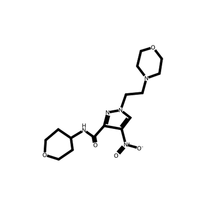 O=C(NC1CCOCC1)c1nn(CCN2CCOCC2)cc1[N+](=O)[O-]